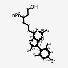 CCCC(CCO)CCCc1nc(C)nc2c(-c3c(C)cc(Br)cc3C)c(C)sc12